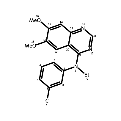 CCN(c1cccc(Cl)c1)c1ncnc2cc(OC)c(OC)cc12